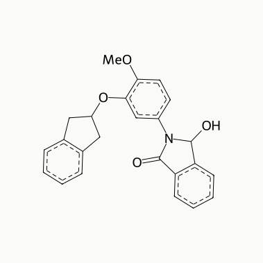 COc1ccc(N2C(=O)c3ccccc3C2O)cc1OC1Cc2ccccc2C1